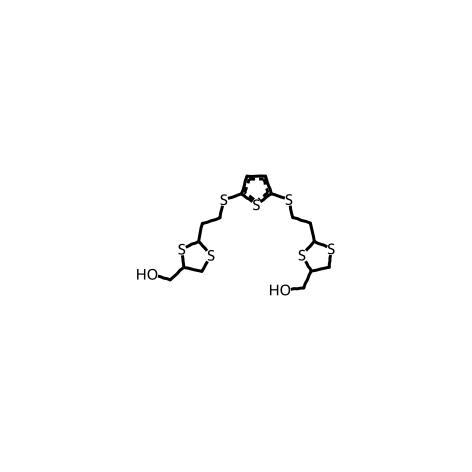 OCC1CSC(CCSc2ccc(SCCC3SCC(CO)S3)s2)S1